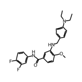 CCN(CC)c1ccc(CNc2cc(C(=O)Nc3ccc(F)c(F)c3)ccc2OC)cc1